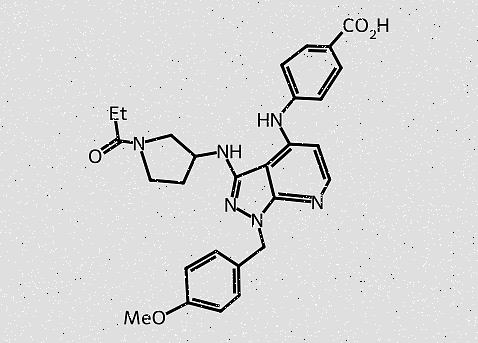 CCC(=O)N1CCC(Nc2nn(Cc3ccc(OC)cc3)c3nccc(Nc4ccc(C(=O)O)cc4)c23)C1